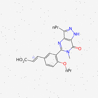 CCCOc1ccc(/C=C/C(=O)O)cc1-c1nc2c(CCC)n[nH]c2c(=O)n1C